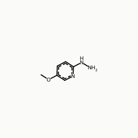 COc1ccc(NN)nc1